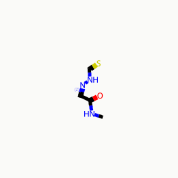 CNC(=O)/C=N\NC=S